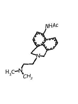 CC(=O)Nc1ccc2c3c(cccc13)CN(CCN(C)C)C2